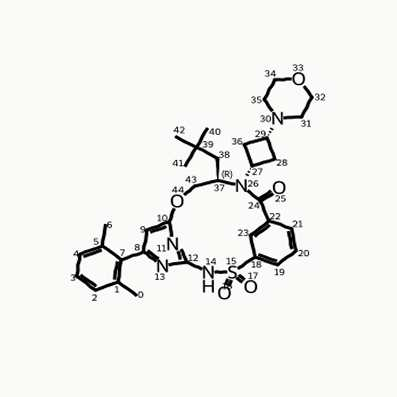 Cc1cccc(C)c1-c1cc2nc(n1)NS(=O)(=O)c1cccc(c1)C(=O)N([C@H]1C[C@@H](N3CCOCC3)C1)[C@H](CC(C)(C)C)CO2